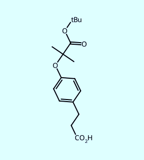 CC(C)(C)OC(=O)C(C)(C)Oc1ccc(CCC(=O)O)cc1